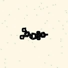 Cc1ccc(S(=O)(=O)N2CCCN(c3cc(Cl)cc(Cl)c3)CC2)cc1